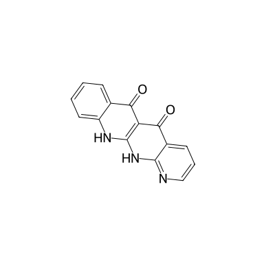 O=c1c2ccccc2[nH]c2[nH]c3ncccc3c(=O)c12